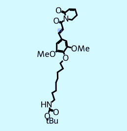 COc1cc(/C=C/C(=O)N2CCC=CC2=O)cc(OC)c1OCCCCCCCCNC(=O)OC(C)(C)C